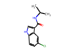 CC(C)NC(=O)c1c[nH]c2ccc(Cl)cc12